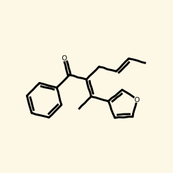 CC=CCC(C(=O)c1ccccc1)=C(C)c1ccoc1